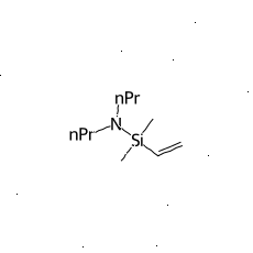 C=C[Si](C)(C)N(CCC)CCC